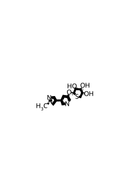 Cn1cc(-c2cncc(O[C@@H]3SC[C@@H](O)[C@H](O)[C@H]3O)c2)cn1